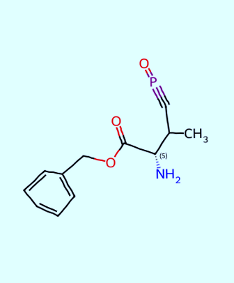 CC(C#P=O)[C@H](N)C(=O)OCc1ccccc1